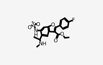 CCOC(=O)c1c(-c2ccc(F)cc2)oc2cc(NS(C)(=O)=O)c(C(C)NC)cc12